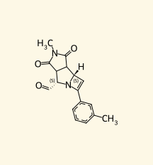 Cc1cccc(C2=C[C@H]3C4C(=O)N(C)C(=O)C4[C@@H](C=O)N23)c1